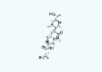 Cc1cc([C@H](C)O)ncc1-c1cc2cnc(NC(=O)[C@@H]3C[C@@H]3F)cc2n(C)c1=O